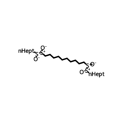 CCCCCCC[S+]([O-])[S+]([O-])CCCCCCCCCC[S+]([O-])[S+]([O-])CCCCCCC